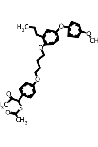 CCCc1cc(Oc2ccc(OC)cc2)ccc1OCCCCOc1ccc(C(SC(C)=O)C(C)=O)cc1